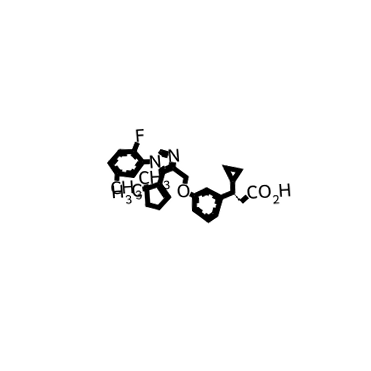 Cc1ccc(F)c(-n2cnc(COc3cccc([C@@H](CC(=O)O)C4CC4)c3)c2C2=CCCC2(C)C)c1